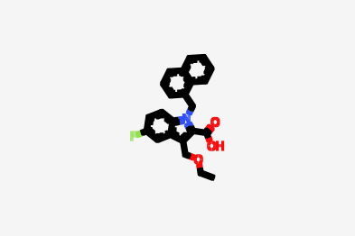 CCOCc1c(C(=O)O)n(Cc2cccc3ccccc23)c2ccc(F)cc12